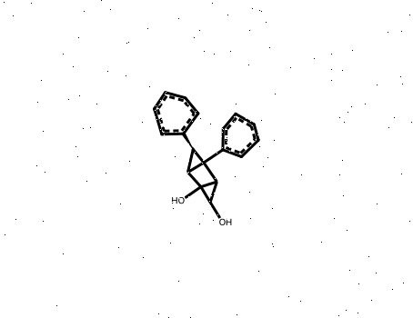 OC1C2C1(O)C1[C@@H](c3ccccc3)C21c1ccccc1